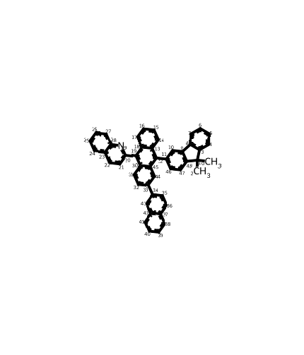 CC1(C)c2ccccc2-c2cc(-c3c4ccccc4c(-c4ccc5ccccc5n4)c4ccc(-c5ccc6ccccc6c5)cc34)ccc21